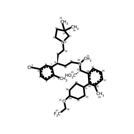 Cc1ccc(Cl)cc1[C@@H](CCN1CCC(C)(C)C1)CCN(C)[C@@H](C(=O)O)c1cccc(C)c1C1CCC(OCC(F)(F)F)CC1